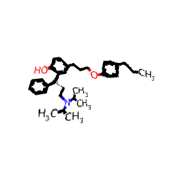 CCCc1ccc(OCCCc2ccc(O)c([C@H](CCN(C(C)C)C(C)C)c3ccccc3)c2)cc1